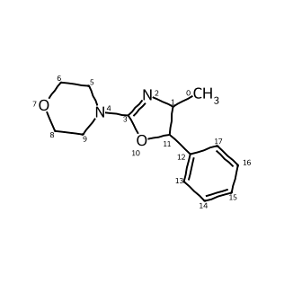 CC1N=C(N2CCOCC2)OC1c1ccccc1